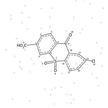 O=C(O)c1ccc2c(c1)S(=O)(=O)c1ccc(Cl)cc1C2=O